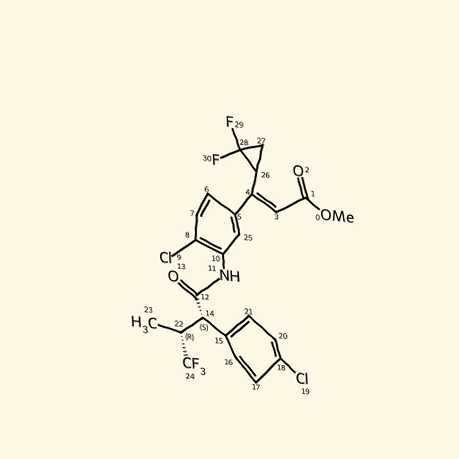 COC(=O)C=C(c1ccc(Cl)c(NC(=O)[C@H](c2ccc(Cl)cc2)[C@@H](C)C(F)(F)F)c1)C1CC1(F)F